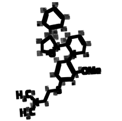 COc1cc(SCCN(C)C)ccc1N1CC=CC=C1N1OCC[C@@H]1c1ccccc1